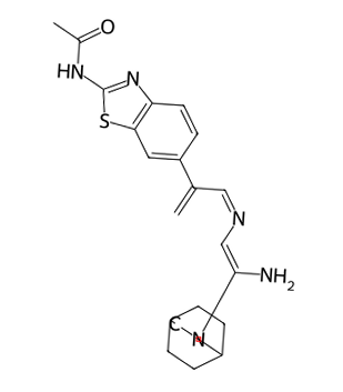 C=C(/C=N\C=C(/N)N1CC2CCC(CC2)C1)c1ccc2nc(NC(C)=O)sc2c1